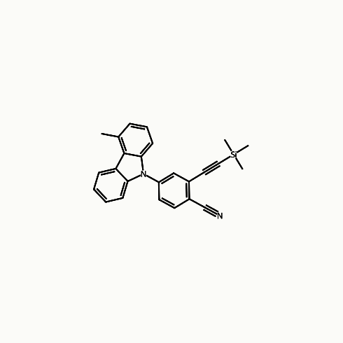 Cc1cccc2c1c1ccccc1n2-c1ccc(C#N)c(C#C[Si](C)(C)C)c1